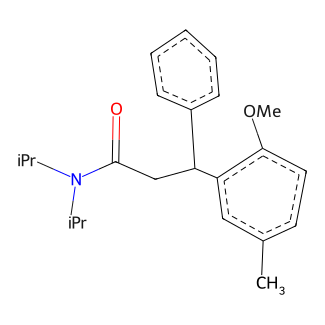 COc1ccc(C)cc1C(CC(=O)N(C(C)C)C(C)C)c1ccccc1